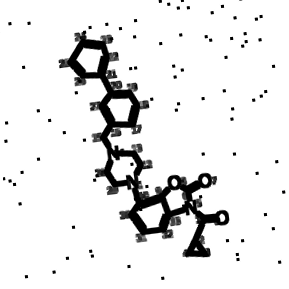 O=C(C1CC1)n1c(=O)oc2c(N3CCN(Cc4cccc(-c5ccccc5)c4)CC3)cccc21